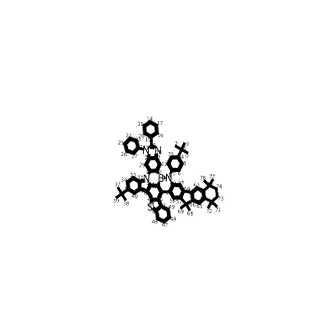 CC(C)(C)c1ccc(N2B3c4cc5nc(-c6ccccc6)n(-c6ccccc6)c5cc4-n4c5ccc(C(C)(C)C)cc5c5c6sc7ccccc7c6c(c3c54)-c3cc4c(cc32)-c2cc3c(cc2C4(C)C)C(C)(C)CCC3(C)C)cc1